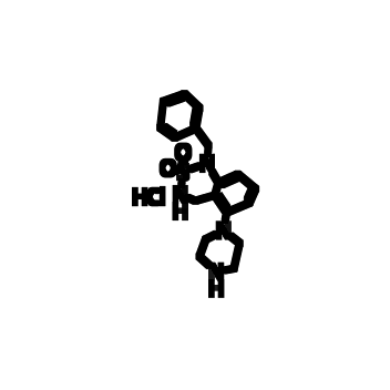 Cl.O=S1(=O)NCc2c(N3CCNCC3)cccc2N1Cc1ccccc1